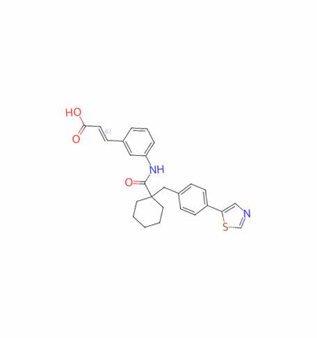 O=C(O)/C=C/c1cccc(NC(=O)C2(Cc3ccc(-c4cncs4)cc3)CCCCC2)c1